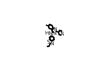 CCc1nc2ccc(Nc3nc(-c4ccncc4)nc4ccc(C)cc34)cc2s1